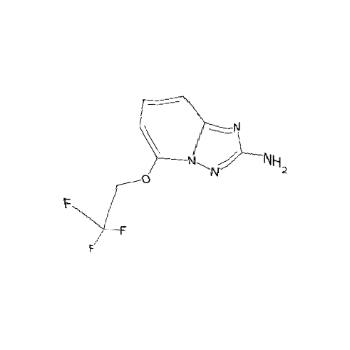 Nc1nc2cccc(OCC(F)(F)F)n2n1